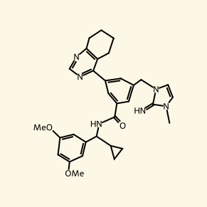 COc1cc(OC)cc(C(NC(=O)c2cc(Cn3ccn(C)c3=N)cc(-c3ncnc4c3CCCC4)c2)C2CC2)c1